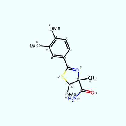 COc1ccc(C2=N[C@](C)(C(N)=O)C(OC)S2)cc1OC